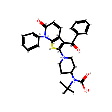 CC(C)(C)N(C(=O)O)C1CCN(c2sc3c(ccc(=O)n3-c3ccccc3)c2C(=O)c2ccccc2)CC1